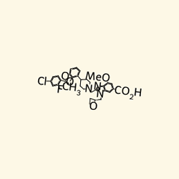 COc1cc(C(=O)O)cc2c1nc(CN1CCC(c3cccc4c3OC(C)(c3ccc(Cl)cc3F)O4)CC1)n2C[C@@H]1CCO1